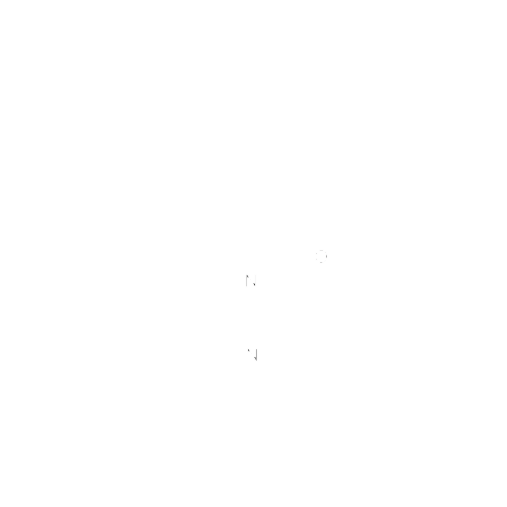 Cc1ncc2oc3ccccc3n12